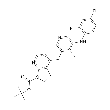 Cc1c(Cc2ccnc3c2CCN3C(=O)OC(C)(C)C)cncc1Nc1ccc(Cl)cc1F